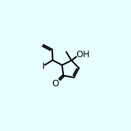 C=CC(I)C1C(=O)C=CC1(C)O